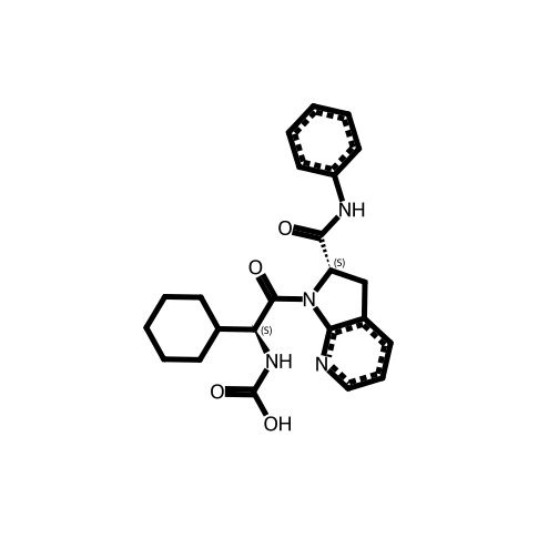 O=C(O)N[C@H](C(=O)N1c2ncccc2C[C@H]1C(=O)Nc1ccccc1)C1CCCCC1